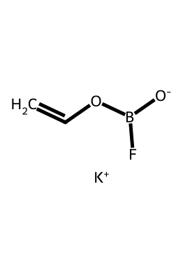 C=COB([O-])F.[K+]